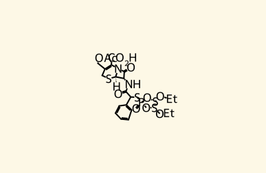 CCOSOP(=O)(OSOCC)SC(C(=O)N[C@@H]1C(=O)N2C(C(=O)O)=C(COC(C)=O)CS[C@H]12)c1ccccc1